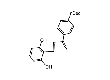 CCCCCCCCCCc1ccc(C(=S)C=Cc2c(O)cccc2O)cc1